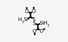 COC(OC)C([SiH3])SSC([SiH3])C(OC)OC